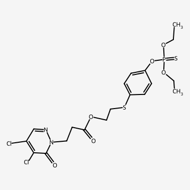 CCOP(=S)(OCC)Oc1ccc(SCCOC(=O)CCn2ncc(Cl)c(Cl)c2=O)cc1